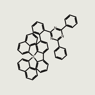 c1ccc(-c2nc(-c3ccccc3)nc(-c3ccccc3-c3ccc4c(c3)S(c3cccc5ccccc35)(c3cccc5ccccc35)c3ccccc3-4)n2)cc1